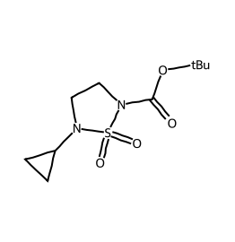 CC(C)(C)OC(=O)N1CCN(C2CC2)S1(=O)=O